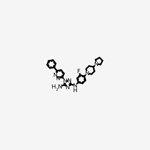 Nc1nc(Nc2ccc(N3CCC(N4CCCC4)CC3)c(F)c2)nn1-c1ccc(-c2ccccc2)nn1